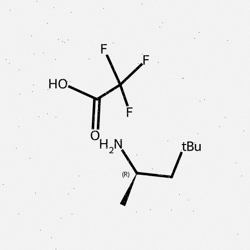 C[C@@H](N)CC(C)(C)C.O=C(O)C(F)(F)F